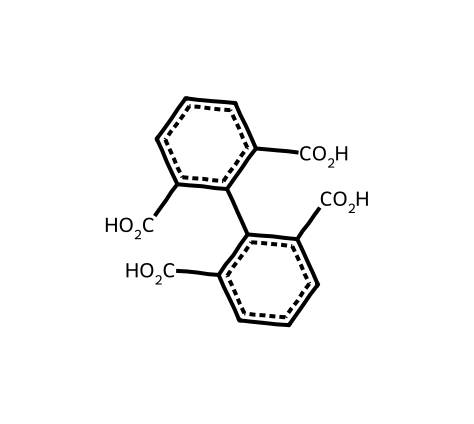 O=C(O)c1cccc(C(=O)O)c1-c1c(C(=O)O)cccc1C(=O)O